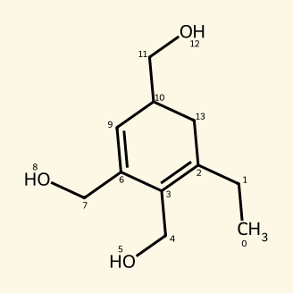 CCC1=C(CO)C(CO)=CC(CO)C1